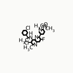 Cc1nc2cc(F)c(-c3ccc(P(C)(C)=O)nc3)nc2c(N[C@H](C)c2cccc(Cl)c2)c1Cl